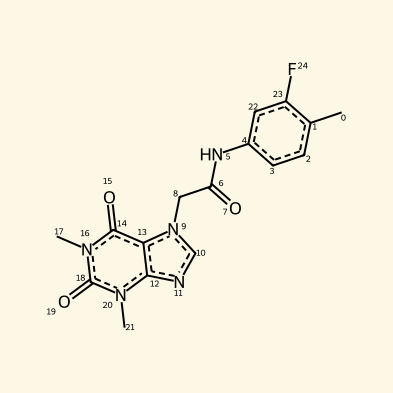 Cc1ccc(NC(=O)Cn2cnc3c2c(=O)n(C)c(=O)n3C)cc1F